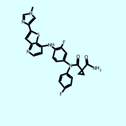 Cn1cnc(-c2cc3nccc(Nc4ccc(N(C(=O)C5(C(N)=O)CC5)c5ccc(F)cc5)cc4F)c3s2)c1